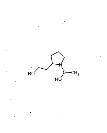 CB(O)N1CCCC1CCO